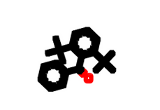 CC(C)(C)c1cccc(C(C)(C)C)c1C(=O)c1ccccc1